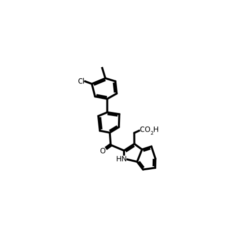 Cc1ccc(-c2ccc(C(=O)c3[nH]c4ccccc4c3CC(=O)O)cc2)cc1Cl